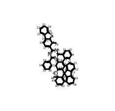 CC1CC2=C(C=C1c1ccccc1-c1nc(C3=CC=C4c5ccccc5SC4C3C)nc(-c3ccccc3)n1)C1(C3=CC=CCC3(C)O2)c2ccccc2-c2ccccc21